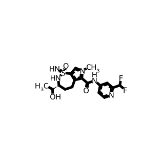 CC(O)[C@H]1CCc2c(cn(C)c2C(=O)Nc2ccnc(C(F)F)c2)S(=N)(=O)N1